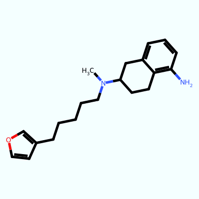 CN(CCCCCc1ccoc1)C1CCc2c(N)cccc2C1